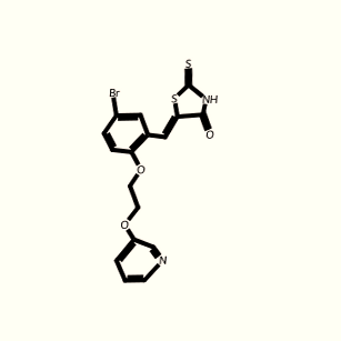 O=C1NC(=S)S/C1=C\c1cc(Br)ccc1OCCOc1cccnc1